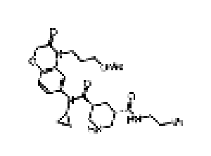 COCCCN1C(=O)COc2ccc(N(C(=O)[C@@H]3CNC[C@@H](C(=O)NCCC(C)C)C3)C3CC3)cc21